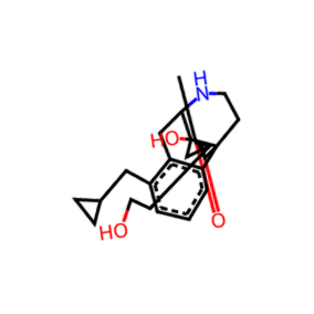 O=C1CC23CCNC(Cc4c(CC5CC5)cccc42)C3(O)CC1CCO